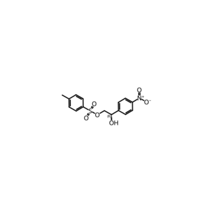 Cc1ccc(S(=O)(=O)OC[C@H](O)c2ccc([N+](=O)[O-])cc2)cc1